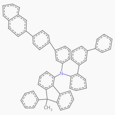 CC1(c2ccccc2)c2ccccc2-c2c(N(c3cccc(-c4ccc(-c5ccc6ccccc6c5)cc4)c3)c3ccccc3-c3cccc(-c4ccccc4)c3)cccc21